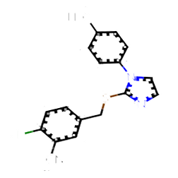 Cc1ccc(-n2ccnc2SCc2ccc(F)c(C#N)c2)cc1